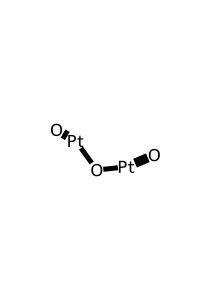 [O]=[Pt][O][Pt]=[O]